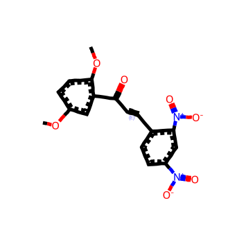 COc1ccc(OC)c(C(=O)/C=C/c2ccc([N+](=O)[O-])cc2[N+](=O)[O-])c1